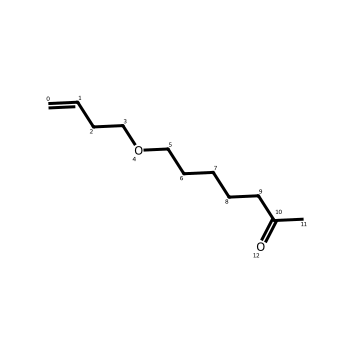 C=CCCOCCCCCC(C)=O